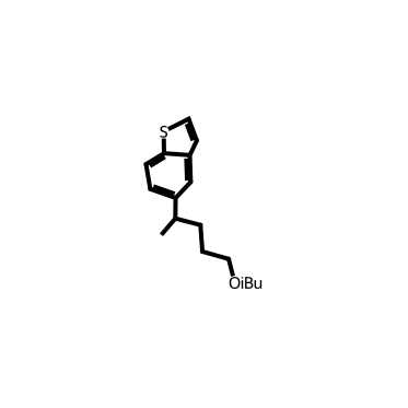 [CH2]C(C)COCCCC(C)c1ccc2sccc2c1